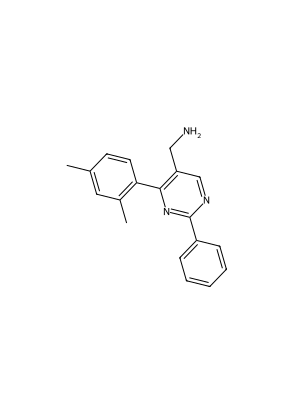 Cc1ccc(-c2nc(-c3ccccc3)ncc2CN)c(C)c1